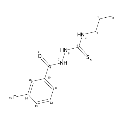 CCCNC(=S)NNC(=O)c1cccc(F)c1